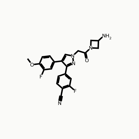 COc1ccc(-c2cn(CC(=O)N3CC(N)C3)nc2-c2ccc(C#N)c(F)c2)cc1F